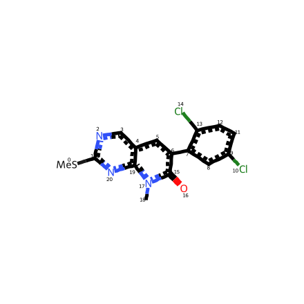 CSc1ncc2cc(-c3cc(Cl)ccc3Cl)c(=O)n(C)c2n1